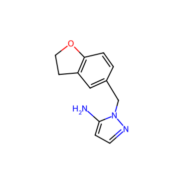 Nc1ccnn1Cc1ccc2c(c1)CCO2